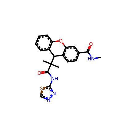 CNC(=O)c1ccc2c(c1)Oc1ccccc1C2C(C)(C)C(=O)Nc1nncs1